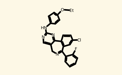 CCOc1ccc(Nc2ncc3c(n2)-c2ccc(Cl)cc2C(c2ccccc2F)=NC3)cc1